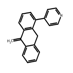 C=C1c2ccccc2Cc2c1cccc2-c1ccncc1